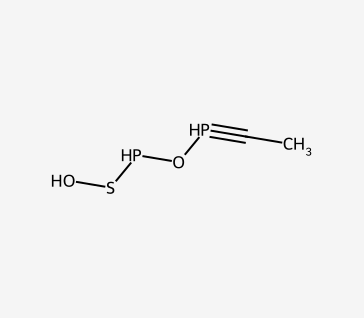 CC#[PH]OPSO